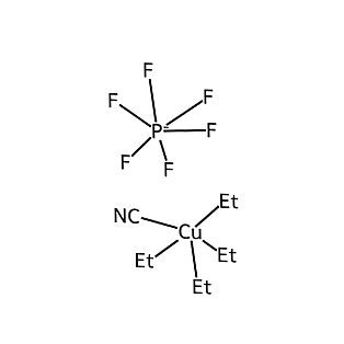 C[CH2][Cu]([C]#N)([CH2]C)([CH2]C)[CH2]C.F[P-](F)(F)(F)(F)F